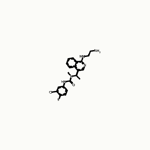 CC(c1cnc(NCCN)c2ccccc12)N(C)C(=O)Nc1ccc(F)c(Cl)c1